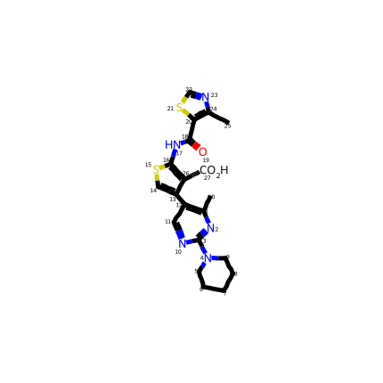 Cc1nc(N2CCCCC2)ncc1-c1csc(NC(=O)c2scnc2C)c1C(=O)O